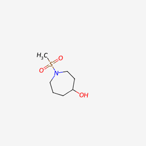 CS(=O)(=O)N1CCCC(O)CC1